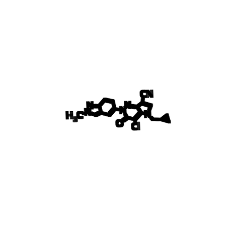 Cn1cc2cc(-n3nc4c(C#N)cn(CC5CC5)c4c(Cl)c3=O)ccc2n1